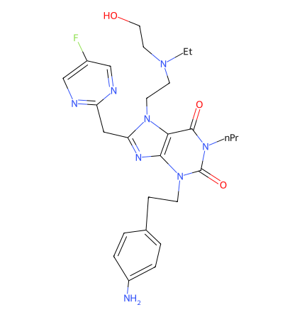 CCCn1c(=O)c2c(nc(Cc3ncc(F)cn3)n2CCN(CC)CCO)n(CCc2ccc(N)cc2)c1=O